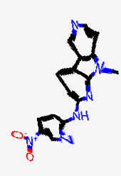 Cn1c2ccncc2c2ccc(Nc3ccc([N+](=O)[O-])cn3)nc21